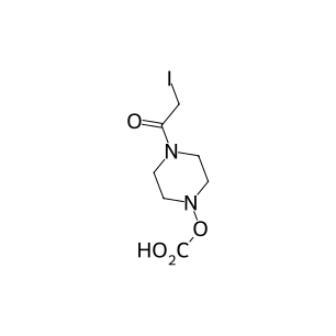 O=C(O)ON1CCN(C(=O)CI)CC1